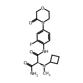 CN(C1CCC1)[C@@H](C(N)=O)C(=O)Nc1ccc(N2CCOCC2=O)cc1F